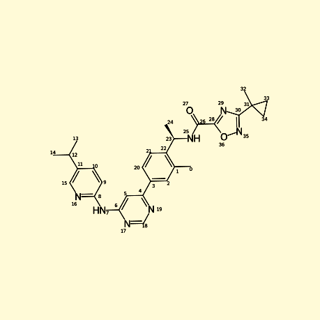 Cc1cc(-c2cc(Nc3ccc(C(C)C)cn3)ncn2)ccc1[C@@H](C)NC(=O)c1nc(C2(C)CC2)no1